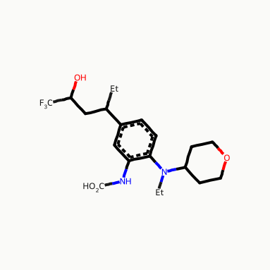 CCC(CC(O)C(F)(F)F)c1ccc(N(CC)C2CCOCC2)c(NC(=O)O)c1